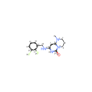 CN1CCCn2c1cc(NCc1cccc(F)c1F)nc2=O